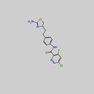 NC1=NC(CCc2ccc(NC(=O)c3ncc(Cl)cc3F)cc2)CO1